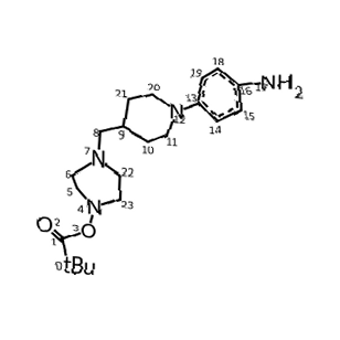 CC(C)(C)C(=O)ON1CCN(CC2CCN(c3ccc(N)cc3)CC2)CC1